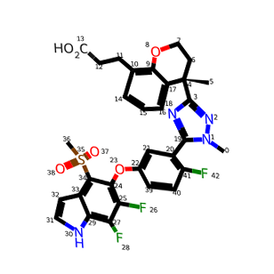 Cn1nc([C@@]2(C)CCOc3c(CCC(=O)O)cccc32)nc1-c1cc(Oc2c(F)c(F)c3[nH]ccc3c2S(C)(=O)=O)ccc1F